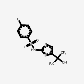 O=S(=O)(Nc1ncc(C(O)(C(F)(F)F)C(F)(F)F)s1)c1ccc(F)cc1